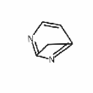 c1cc2nc(n1)C2